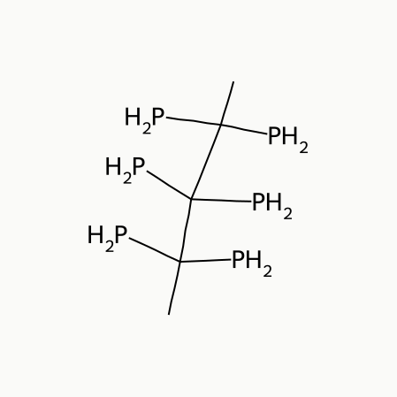 CC(P)(P)C(P)(P)C(C)(P)P